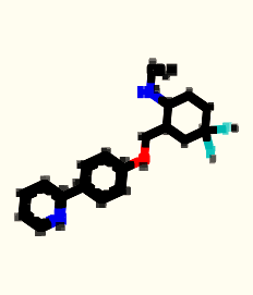 O=C(O)NC1CCC(F)(F)CC1COc1ccc(-c2ccccn2)cc1